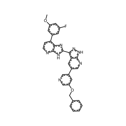 COc1cc(F)cc(-c2ccnc3[nH]c(-c4n[nH]c5ncc(-c6cncc(OCc7ccccc7)c6)cc45)nc23)c1